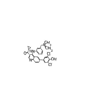 CN(C)Cc1cccc(Nc2c(C(=O)C3CC3)cnc3ccc(-c4cc(Cl)c(O)c(Cl)c4)cc23)c1